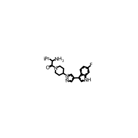 CC(C)C(N)C(=O)N1CCC(n2cc(-c3c[nH]c4cc(F)ccc34)cn2)CC1